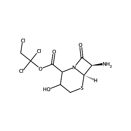 N[C@@H]1C(=O)N2C(C(=O)OC(Cl)(Cl)CCl)C(O)CS[C@H]12